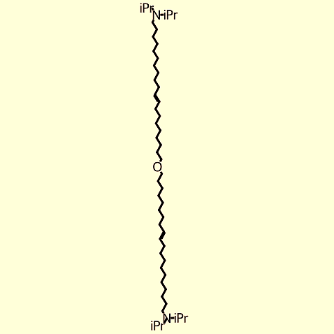 CC(C)N(CCCCCCCCCCC=CCCCCCCCCOCCCCCCCCC=CCCCCCCCCCCN(C(C)C)C(C)C)C(C)C